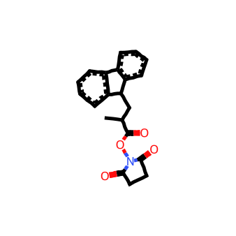 CC(CC1c2ccccc2-c2ccccc21)C(=O)ON1C(=O)CCC1=O